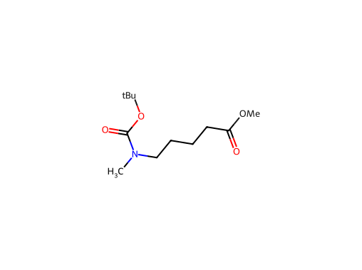 COC(=O)CCCCN(C)C(=O)OC(C)(C)C